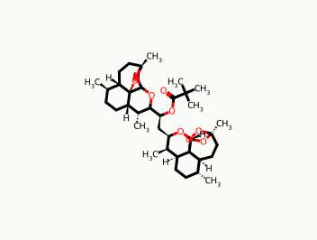 C[C@H]1[C@@H](C[C@H](OC(=O)C(C)(C)C)C2O[C@@H]3O[C@]4(C)CC[C@H]5[C@H](C)CC[C@@H]([C@H]2C)[C@@]35OO4)O[C@@H]2O[C@]3(C)CC[C@H]4[C@H](C)CC[C@@H]1[C@@]24OO3